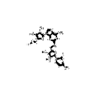 COC[C@H]1O[C@@H](n2cnc3c(N)nc(OC[C@H]4O[C@@H](n5ccc(N)nc5=O)[C@@H](O)[C@@H]4O)nc32)[C@@H](O)[C@@H]1O